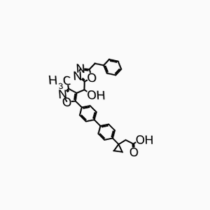 Cc1noc(-c2ccc(-c3ccc(C4(CC(=O)O)CC4)cc3)cc2)c1C(O)c1nnc(Cc2ccccc2)o1